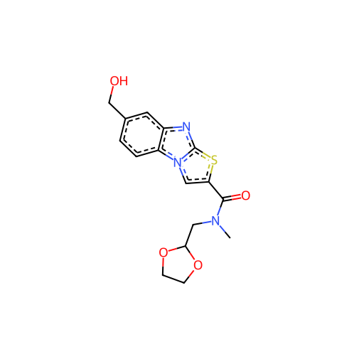 CN(CC1OCCO1)C(=O)c1cn2c(nc3cc(CO)ccc32)s1